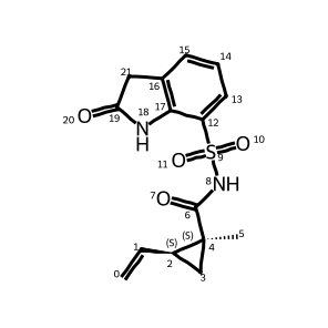 C=C[C@@H]1C[C@]1(C)C(=O)NS(=O)(=O)c1cccc2c1NC(=O)C2